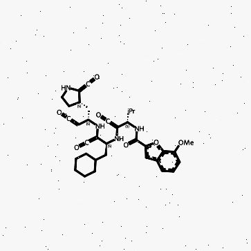 COc1cccc2cc(C(=O)N[C@H](C(=C=O)N[C@@H](CC3CCCCC3)C(=C=O)N[C@H](C=C=O)C[C@@H]3CCNC3=C=O)C(C)C)oc12